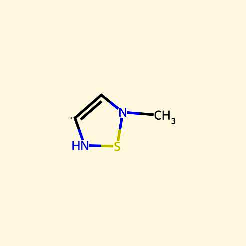 CN1C=[C]NS1